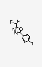 FC(F)c1nnc(-c2ccc(I)cc2)o1